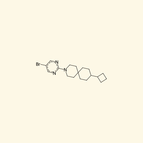 Brc1cnc(N2CCC3(CCC(C4CCC4)CC3)CC2)nc1